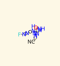 N#CCC1CCN(c2nc3c(c(Nc4ccc(N5CCN(CCF)CC5)cc4)n2)C2OC2NN=C3)CC1